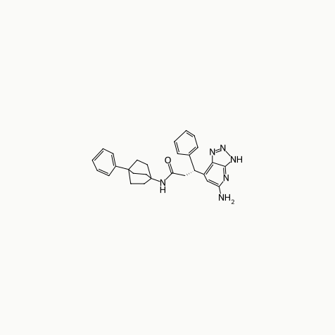 Nc1cc([C@H](CC(=O)NC23CCC(c4ccccc4)(CC2)CC3)c2ccccc2)c2nn[nH]c2n1